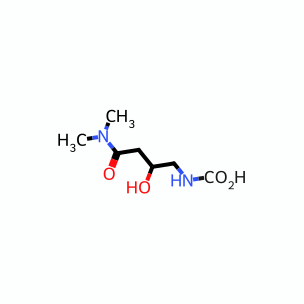 CN(C)C(=O)CC(O)CNC(=O)O